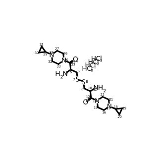 Cl.Cl.Cl.Cl.NC(CSSCC(N)C(=O)N1CCN(C2CC2)CC1)C(=O)N1CCN(C2CC2)CC1